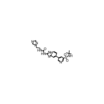 CC(C)(C)NS(=O)(=O)c1cncc(-c2ccn3nc(NC(=O)NCCn4cncn4)nc3c2)c1